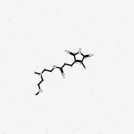 COCCN(C)CCOC(=O)CCC1=C(C)C(=O)OC1=O